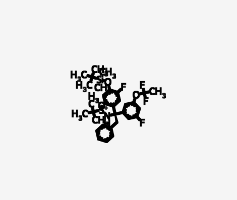 CC(F)(F)Oc1cc(F)cc([C@](Cc2ccccc2)(N[S@+]([O-])C(C)(C)C)c2ccc(O[Si](C)(C)C(C)(C)C)c(F)c2)c1